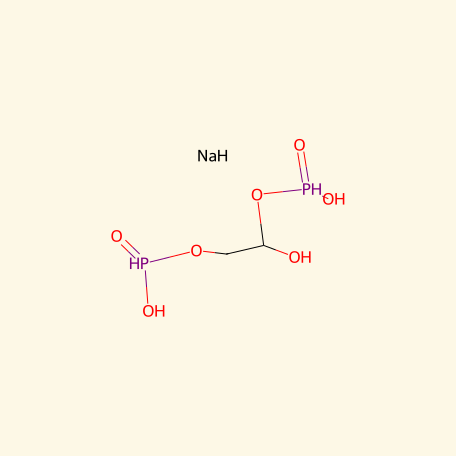 O=[PH](O)OCC(O)O[PH](=O)O.[NaH]